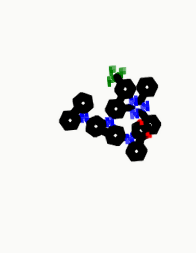 FC(F)(F)c1cccc(-c2ccc(-n3c4cc(-n5c6ccccc6c6ccccc65)ccc4c4ccc(-n5c6ccccc6c6ccccc65)cc43)cc2-c2nc(-c3ccccc3)nc(-c3ccccc3)n2)c1